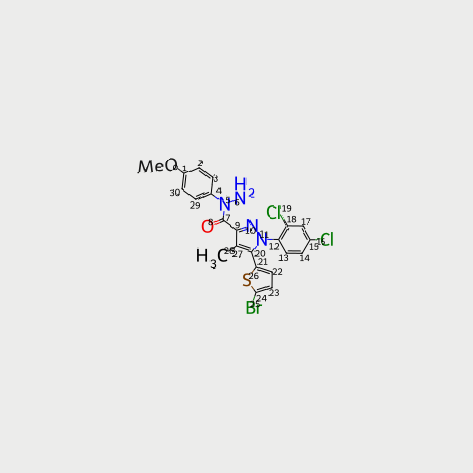 COc1ccc(N(N)C(=O)c2nn(-c3ccc(Cl)cc3Cl)c(-c3ccc(Br)s3)c2C)cc1